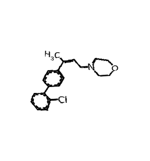 CC(=CCN1CCOCC1)c1ccc(-c2ccccc2Cl)cc1